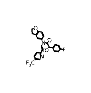 O=C([C@H](O)c1ccc(F)cc1)N(CCc1ccc(C(F)(F)F)cn1)c1ccc2c(c1)CCO2